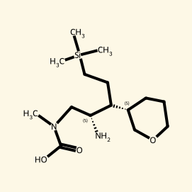 CN(C[C@@H](N)C(CC[Si](C)(C)C)[C@@H]1CCCOC1)C(=O)O